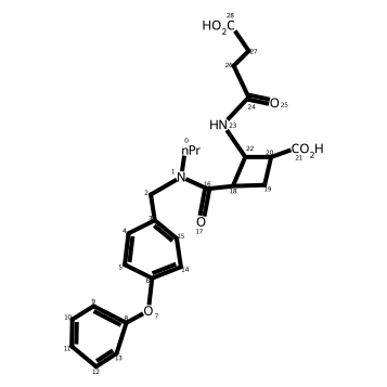 CCCN(Cc1ccc(Oc2ccccc2)cc1)C(=O)C1CC(C(=O)O)C1NC(=O)CCC(=O)O